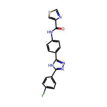 O=C(Nc1ccc(-c2nnc(-c3ccc(F)cc3)[nH]2)cc1)c1cscn1